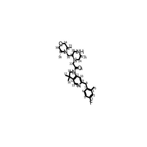 Cc1cc(F)ccc1Cc1cc2c(cn1)C(C)(C)CN2C(=O)CN1C[C@@H](C)NC[C@@H]1CN1[C@H](C)COC[C@H]1C